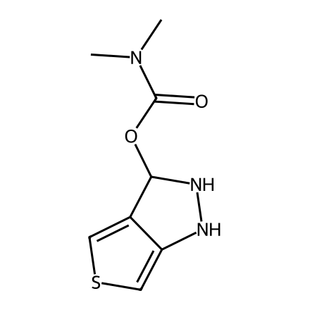 CN(C)C(=O)OC1NNc2cscc21